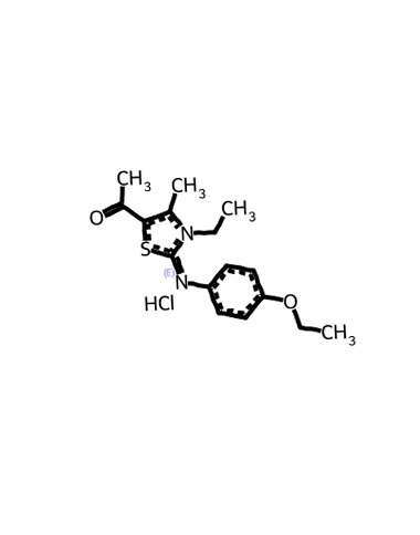 CCOc1ccc(/N=c2/sc(C(C)=O)c(C)n2CC)cc1.Cl